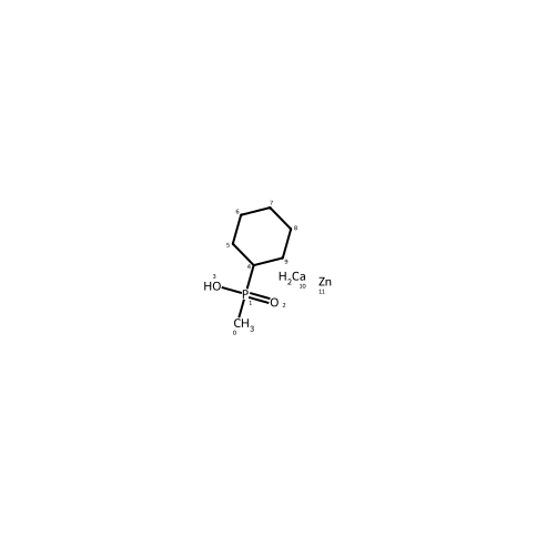 CP(=O)(O)C1CCCCC1.[CaH2].[Zn]